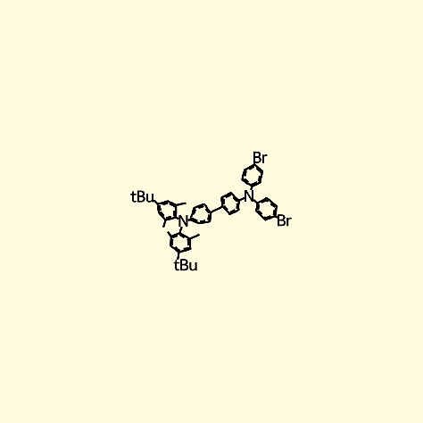 Cc1cc(C(C)(C)C)cc(C)c1N(c1ccc(-c2ccc(N(c3ccc(Br)cc3)c3ccc(Br)cc3)cc2)cc1)c1c(C)cc(C(C)(C)C)cc1C